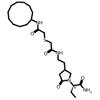 CC[C@H](C(N)=O)N1CC(CCNC(=O)CSCC(=O)NC2CCCCCCCCCC2)CC1=O